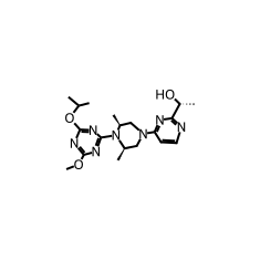 COc1nc(OC(C)C)nc(N2[C@H](C)CN(c3ccnc([C@@H](C)O)n3)C[C@@H]2C)n1